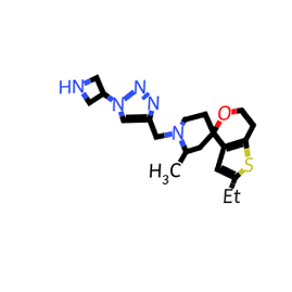 CCc1cc2c(s1)CCOC21CCN(Cc2cn(C3CNC3)nn2)C(C)C1